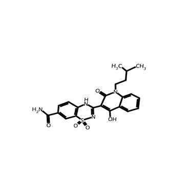 CC(C)CCn1c(=O)c(C2=NS(=O)(=O)c3cc(C(N)=O)ccc3N2)c(O)c2ccccc21